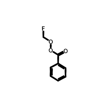 O=C(OOCF)c1ccccc1